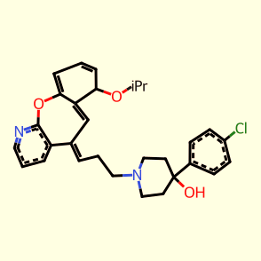 CC(C)OC1C=CC=C2Oc3ncccc3C(=CCCN3CCC(O)(c4ccc(Cl)cc4)CC3)C=C21